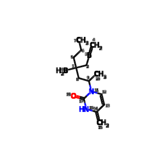 BC(CB=C)(CCC)CC(C)N1C=CC(=C)NC1=O